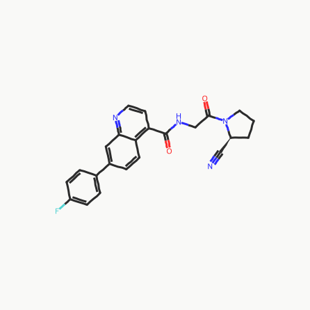 N#C[C@@H]1CCCN1C(=O)CNC(=O)c1ccnc2cc(-c3ccc(F)cc3)ccc12